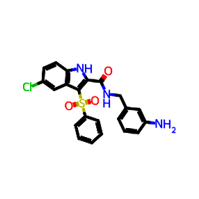 Nc1cccc(CNC(=O)c2[nH]c3ccc(Cl)cc3c2S(=O)(=O)c2ccccc2)c1